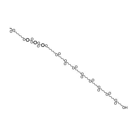 C=CC(=O)OCCCCCCCCOc1ccc(C(=O)Oc2ccc(OC(=O)c3ccc(OCCCCCCCCOC(=O)CCCCCOC(=O)CCCCCOC(=O)CCCCCOC(=O)CCCCCOC(=O)CCCCCOC(=O)CCCCCOC(=O)CCCCCOC(=O)CCCCCO)cc3)cc2)cc1